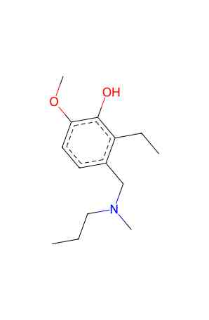 CCCN(C)Cc1ccc(OC)c(O)c1CC